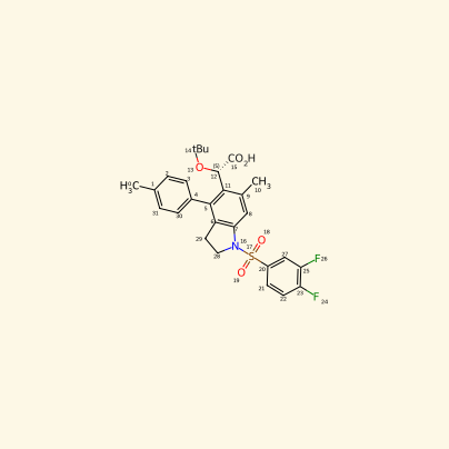 Cc1ccc(-c2c3c(cc(C)c2[C@H](OC(C)(C)C)C(=O)O)N(S(=O)(=O)c2ccc(F)c(F)c2)CC3)cc1